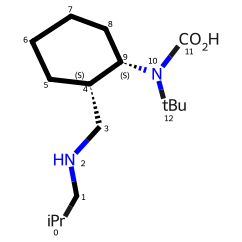 CC(C)CNC[C@@H]1CCCC[C@@H]1N(C(=O)O)C(C)(C)C